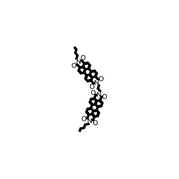 CCCCCN1C(=O)c2ccc3c4ccc5c6c(ccc(c7ccc(c2c37)C1=O)c64)C(=O)N(CCCN1C(=O)c2ccc3c4ccc6c7c(ccc(c8ccc(c2c38)C1=O)c74)C(=O)N(CCCCC)C6=O)C5=O